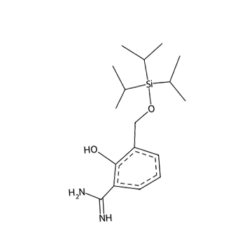 CC(C)[Si](OCc1cccc(C(=N)N)c1O)(C(C)C)C(C)C